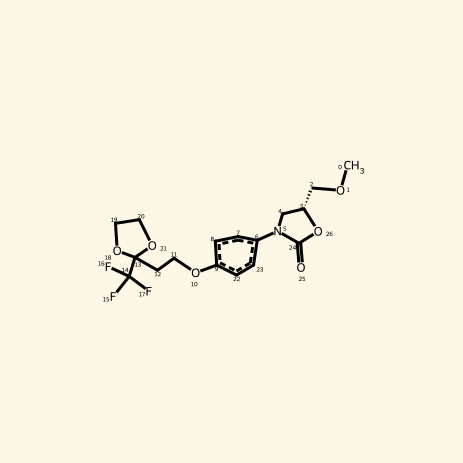 COC[C@H]1CN(c2ccc(OCCC3(C(F)(F)F)OCCO3)cc2)C(=O)O1